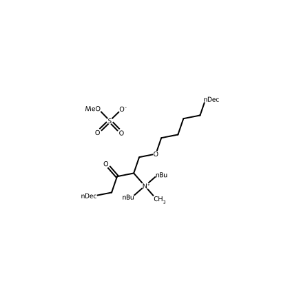 CCCCCCCCCCCCCCOCC(C(=O)CCCCCCCCCCC)[N+](C)(CCCC)CCCC.COS(=O)(=O)[O-]